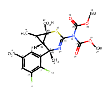 CC1[C@H]2[C@@](C)(c3cc([N+](=O)[O-])cc(F)c3F)N=C(N(C(=O)OC(C)(C)C)C(=O)OC(C)(C)C)S[C@@]12C(=O)O